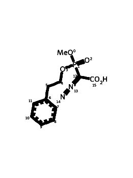 COP(=O)(OCCc1ccccc1)C(=[N+]=[N-])C(=O)O